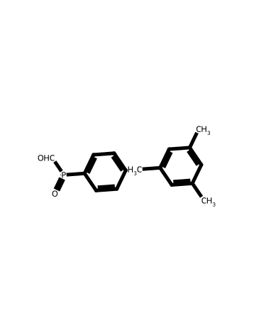 Cc1cc(C)cc(C)c1.O=C[P](=O)c1ccccc1